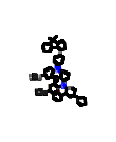 CC(C)(C)c1ccc2c(c1)B1c3cc(C(C)(C)C)ccc3N(c3ccc(-c4ccccc4)cc3-c3ccccc3)c3cccc(c31)N2c1ccc(-c2cccc3c2-c2ccccc2C3(C)C)cc1